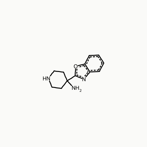 NC1(c2nc3ccccc3o2)CCNCC1